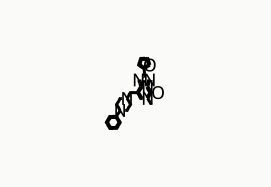 Cn1cc(CN2CCN(c3ccccc3)CC2)c2nc(-c3ccco3)nn2c1=O